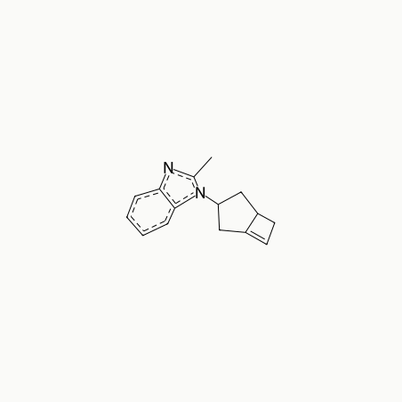 Cc1nc2ccccc2n1C1CC2=CCC2C1